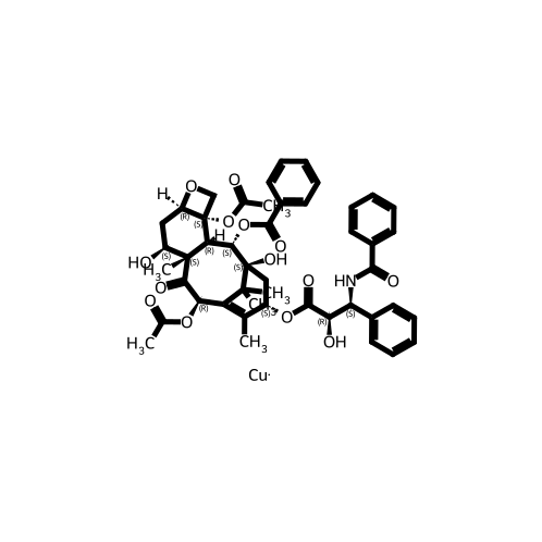 CC(=O)O[C@H]1C(=O)[C@@]2(C)[C@H]([C@H](OC(=O)c3ccccc3)[C@]3(O)C[C@H](OC(=O)[C@H](O)[C@@H](NC(=O)c4ccccc4)c4ccccc4)C(C)=C1C3(C)C)[C@]1(OC(C)=O)CO[C@@H]1C[C@@H]2O.[Cu]